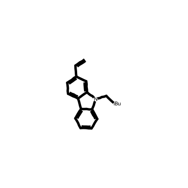 C=Cc1ccc2c3ccccc3n(CC(C)CC)c2c1